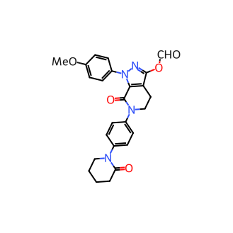 COc1ccc(-n2nc(OC=O)c3c2C(=O)N(c2ccc(N4CCCCC4=O)cc2)CC3)cc1